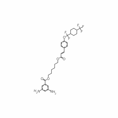 Nc1cc(N)cc(C(=O)OCCCCCCOC(=O)C=Cc2ccc(OC(F)(F)C3CCC(C(F)(F)F)CC3)cc2)c1